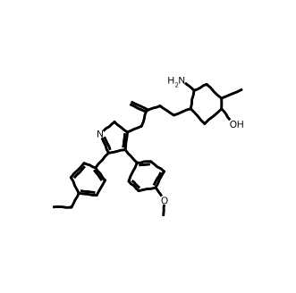 C=C(CCC1CC(O)C(C)CC1N)CC1=C(c2ccc(OC)cc2)C(c2ccc(CC)cc2)=NC1